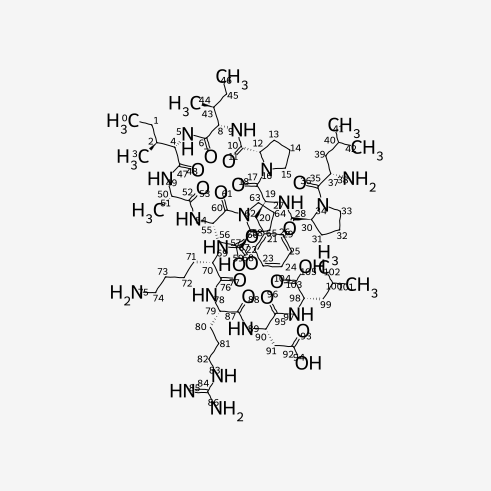 CC[C@H](C)[C@H](NC(=O)[C@@H](NC(=O)[C@@H]1CCCN1C(=O)[C@H](Cc1ccccc1)NC(=O)[C@@H]1CCCN1C(=O)[C@@H](N)CC(C)C)[C@@H](C)CC)C(=O)N[C@@H](C)C(=O)N[C@@H](CC(=O)O)C(=O)N1CCC[C@H]1C(=O)N[C@@H](CCCCN)C(=O)N[C@@H](CCCNC(=N)N)C(=O)N[C@@H](CC(=O)O)C(=O)N[C@@H](CC(C)C)C(=O)O